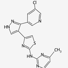 Cc1ccnc(Nc2nc(-c3c[nH]nc3-c3cncc(Cl)c3)cs2)n1